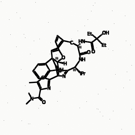 CCC(O)(CC)C(=O)N[C@H]1Cc2ccc3c(c2)C2(c4ccccc4N[C@H]2O3)c2oc(nc2-c2nc(C(=O)N(C)C)c(C)o2)[C@H](C(C)C)NC1=O